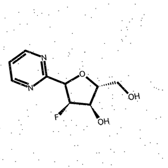 OC[C@H]1OC(c2ncccn2)[C@H](F)[C@@H]1O